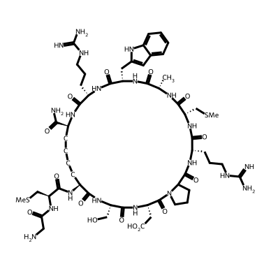 CSC[C@H](NC(=O)CN)C(=O)N[C@H]1CCCC[C@@H](C(N)=O)NC(=O)[C@H](CCCNC(=N)N)NC(=O)[C@H](Cc2cc3ccccc3[nH]2)NC(=O)[C@H](C)NC(=O)[C@H](CSC)NC(=O)[C@H](CCCNC(=N)N)NC(=O)C2CCCN2C(=O)[C@H](CC(=O)O)NC(=O)[C@H](CO)NC1=O